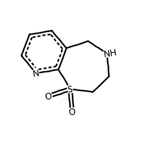 O=S1(=O)CCNCc2cccnc21